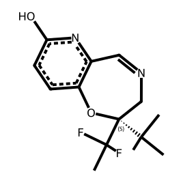 CC(C)(C)[C@@]1(C(C)(F)F)CN=Cc2nc(O)ccc2O1